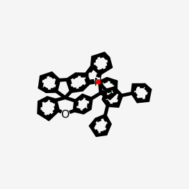 c1ccc(-c2cc(-c3ccccc3)cc(-n3c4ccccc4c4cc5c(cc43)C3(c4ccccc4Oc4ccc(-c6ccccc6)cc43)c3ccccc3-5)c2)cc1